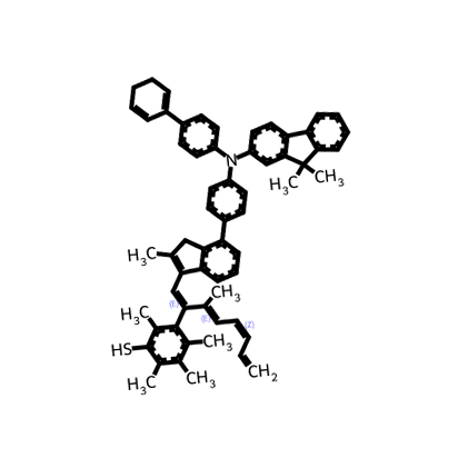 C=C\C=C/C=C(C)/C(=C\C1=C(C)Cc2c1cccc2-c1ccc(N(c2ccc(C3=CCCC=C3)cc2)c2ccc3c(c2)C(C)(C)c2ccccc2-3)cc1)c1c(C)c(C)c(C)c(S)c1C